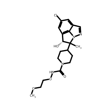 COCCONC(=O)N1CCC(C2(C)[C@H](O)c3cc(Cl)cc4cnn2c34)CC1